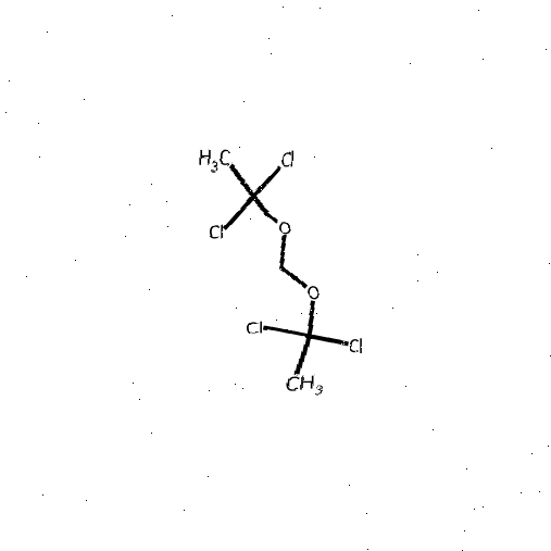 CC(Cl)(Cl)OCOC(C)(Cl)Cl